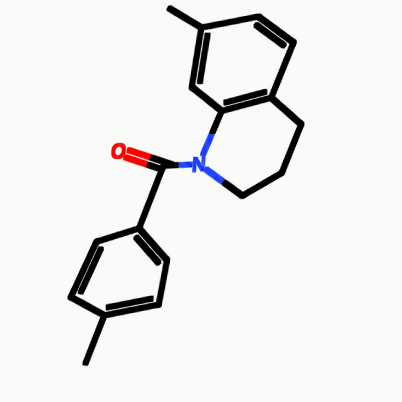 Cc1ccc(C(=O)N2CCCc3ccc(C)cc32)cc1